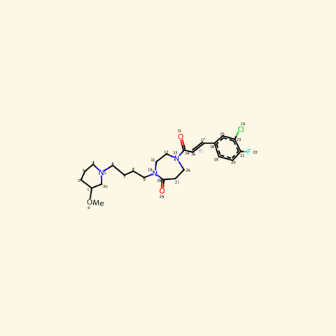 COC1CCCN(CCCCN2CCN(C(=O)/C=C/c3ccc(F)c(Cl)c3)CCC2=O)C1